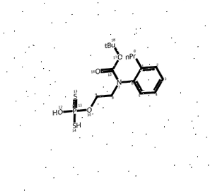 CCCc1ccccc1N(CCOP(O)(=S)S)C(=O)OC(C)(C)C